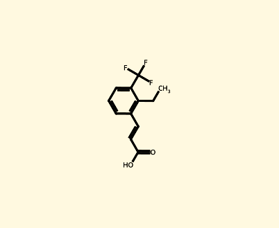 CCc1c(/C=C/C(=O)O)cccc1C(F)(F)F